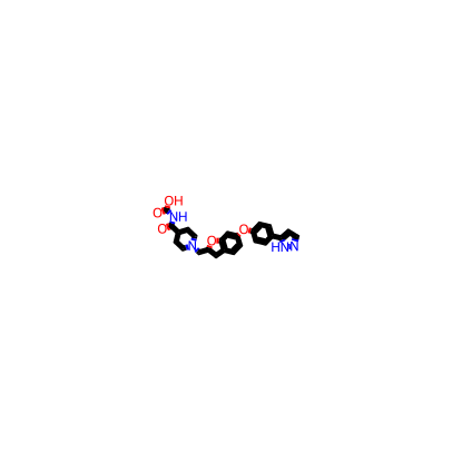 O=C(O)NC(=O)C1CCN(CC2Cc3ccc(Oc4ccc(-c5ccn[nH]5)cc4)cc3O2)CC1